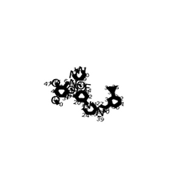 COc1ccc(CN(c2ccncn2)S(=O)(=O)c2c(F)cc(N3CCC[C@@](CCc4cccc(C5CC5)c4)(N(C)C)C3)cc2F)c(OC)c1